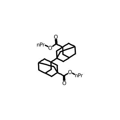 CCCOC(=O)C12CC3CC(C1)CC(C14CC5CC(CC(C(=O)OCCC)(C5)C1)C4)(C3)C2